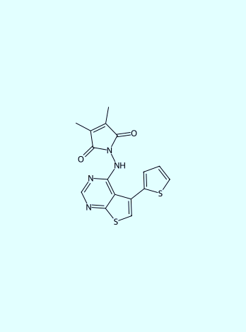 CC1=C(C)C(=O)N(Nc2ncnc3scc(-c4cccs4)c23)C1=O